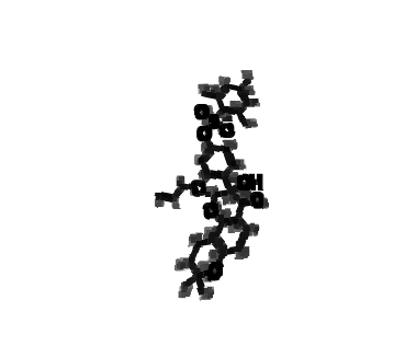 C=CCOc1cc(OS(=O)(=O)c2c(C)cc(C)cc2C)ccc1C1(O)COc2c(ccc3c2CCC(C)(C)O3)C1=O